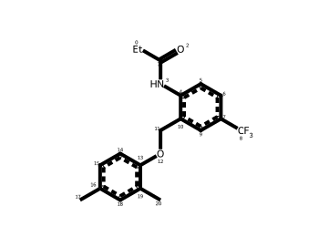 CCC(=O)Nc1ccc(C(F)(F)F)cc1COc1ccc(C)cc1C